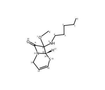 CCCCCNC1(OC)C(=O)N2CC=CS[C@H]21